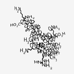 CC(C)[C@H](NC(=O)[C@H](C)NC(=O)[C@H](CCCNC(=N)N)NC(=O)[C@@H]1CCCN1C(=O)[C@H](CCCCN)NC(=O)[C@H](C)NC(=O)[C@H](CCC(N)=O)NC(=O)[C@@H]1CCCN1C(=O)[C@@H](NC(=O)[C@@H]1CCCN1C(=O)[C@H](CCC(=O)O)NC(=O)[C@@H](N)CCCCN)C(C)C)C(=O)N[C@@H](C)C(=O)N[C@@H](C)C(=O)N[C@@H](C)C(=O)N[C@@H](CCC(N)=O)C(=O)O